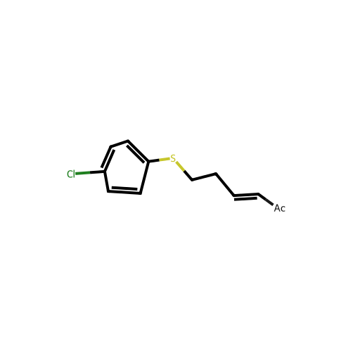 CC(=O)C=CCCSc1ccc(Cl)cc1